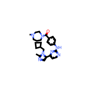 Cc1ncc(-c2ccnc(Nc3ccc(C(=O)N4CCCN(C)CC4)cc3)n2)n1CC1CCC1